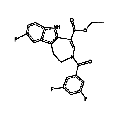 CCOC(=O)C1=CN(C(=O)c2cc(F)cc(F)c2)CCc2c1[nH]c1ccc(F)cc21